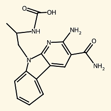 CC(Cn1c2ccccc2c2cc(C(N)=O)c(N)nc21)NC(=O)O